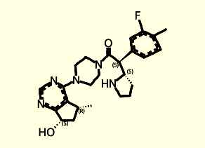 Cc1ccc([C@H](C(=O)N2CCN(c3ncnc4c3[C@H](C)C[C@@H]4O)CC2)[C@@H]2CCCN2)cc1F